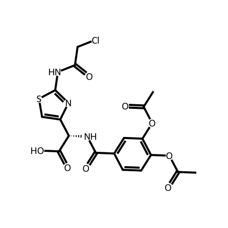 CC(=O)Oc1ccc(C(=O)N[C@H](C(=O)O)c2csc(NC(=O)CCl)n2)cc1OC(C)=O